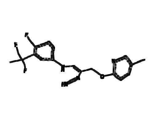 Cc1ccc(OC/C(=C/Nc2ccc(F)c(C(C)(F)F)c2)N=N)nc1